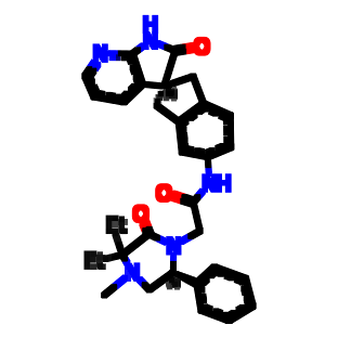 CCC1(CC)C(=O)N(CC(=O)Nc2ccc3c(c2)C[C@@]2(C3)C(=O)Nc3ncccc32)[C@@H](c2ccccc2)CN1C